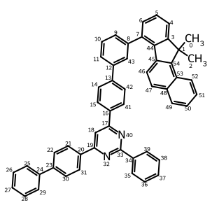 CC1(C)c2cccc(-c3cccc(-c4ccc(-c5cc(-c6ccc(-c7ccccc7)cc6)nc(-c6ccccc6)n5)cc4)c3)c2-c2ccc3ccccc3c21